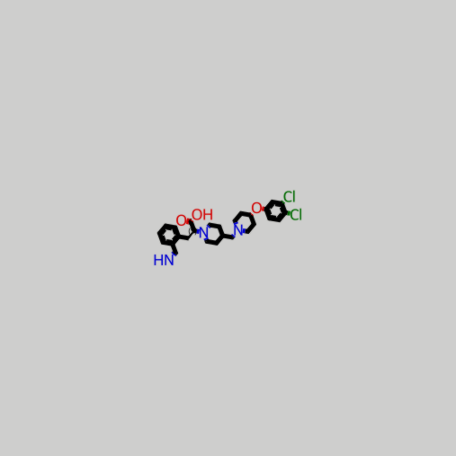 N=Cc1ccccc1C[C@@H](C(=O)O)N1CCC(CN2CCC(Oc3ccc(Cl)c(Cl)c3)CC2)CC1